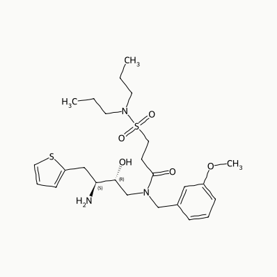 CCCN(CCC)S(=O)(=O)CCC(=O)N(Cc1cccc(OC)c1)C[C@@H](O)[C@@H](N)Cc1cccs1